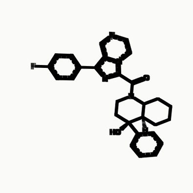 O=C(c1nc(-c2ccc(F)cc2)c2cnccn12)N1CC[C@@](O)(c2ccccc2)[C@@H]2CCCCC21